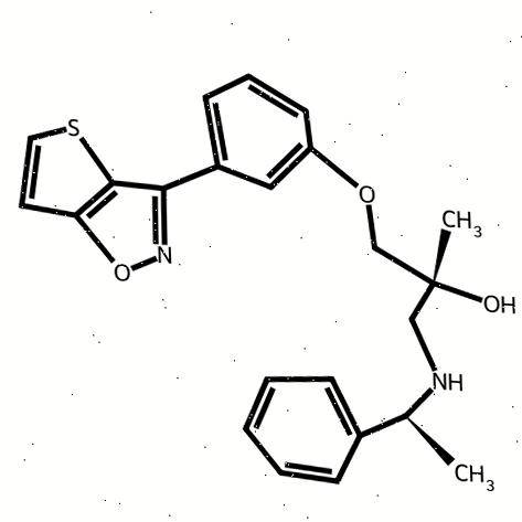 C[C@H](NC[C@@](C)(O)COc1cccc(-c2noc3ccsc23)c1)c1ccccc1